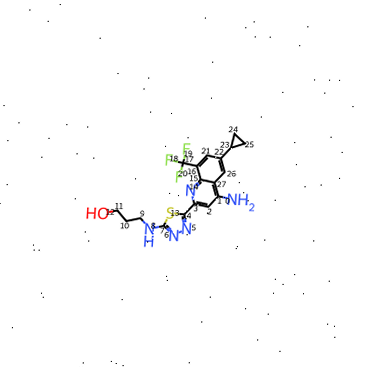 Nc1cc(-c2nnc(NCCCO)s2)nc2c(C(F)(F)F)cc(C3CC3)cc12